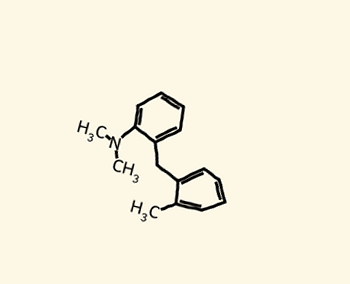 Cc1ccccc1Cc1ccccc1N(C)C